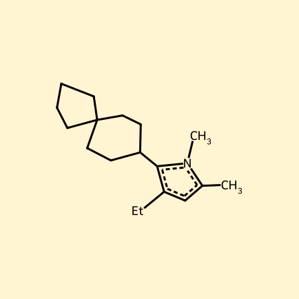 CCc1cc(C)n(C)c1C1CCC2(CCCC2)CC1